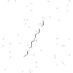 CCOCC[N-]CCOCC.[Li+]